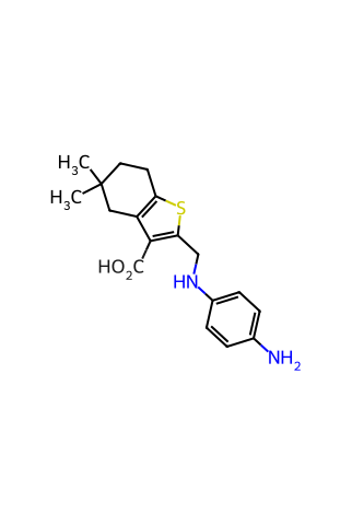 CC1(C)CCc2sc(CNc3ccc(N)cc3)c(C(=O)O)c2C1